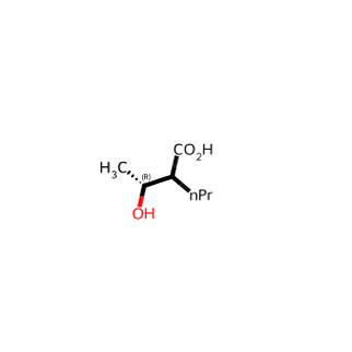 CCCC(C(=O)O)[C@@H](C)O